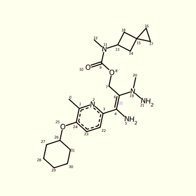 Cc1nc(/C(N)=C(\COC(=O)N(C)C2CC3(CC3)C2)N(C)N)ccc1OC1CCCCC1